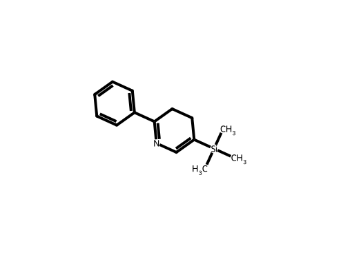 C[Si](C)(C)C1=CN=C(c2ccccc2)CC1